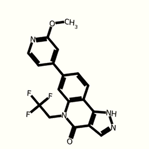 COc1cc(-c2ccc3c4[nH]ncc4c(=O)n(CC(F)(F)F)c3c2)ccn1